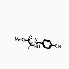 COC(=O)[C@@H](C)N[C@@H](C)c1ccc(C#N)cc1